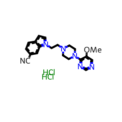 COc1cncnc1N1CCN(CCn2ccc3ccc(C#N)cc32)CC1.Cl.Cl